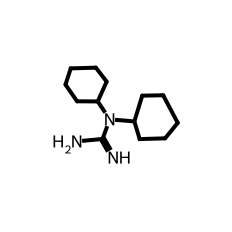 N=C(N)N(C1CCCCC1)C1CCCCC1